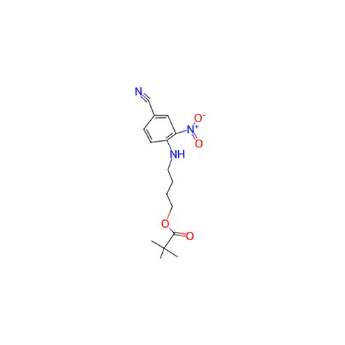 CC(C)(C)C(=O)OCCCCNc1ccc(C#N)cc1[N+](=O)[O-]